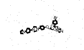 Brc1ccc([C@]2(Cn3cncn3)OC[C@H](COc3ccc(N4CCN(c5ccc(-n6cccc6)cc5)CC4)cc3)O2)cc1